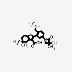 CNCc1ccc(N2CC(C)(C)C2=O)cc1-c1sc2c(c1C(=O)O)CC(C)(C)CC2